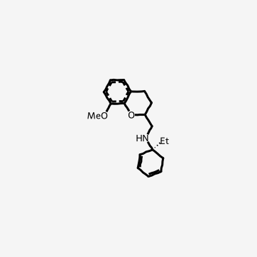 CC[C@@]1(NCC2CCc3cccc(OC)c3O2)C=CC=CC1